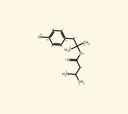 CC(N)CC(=O)OC(C)(C)Cc1ccc(Cl)cc1